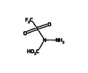 NN(C(=O)O)S(=O)(=O)C(F)(F)F